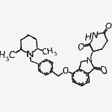 CC1CCCC(C)N1Cc1ccc(COc2cccc3c2CN(C2CCC(=O)NC2=O)C3=O)cc1